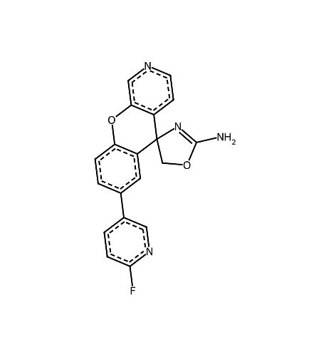 NC1=NC2(CO1)c1ccncc1Oc1ccc(-c3ccc(F)nc3)cc12